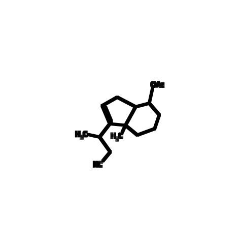 CC(=O)OC1CCCC2(C)C(C(C)CC#N)=CCC12